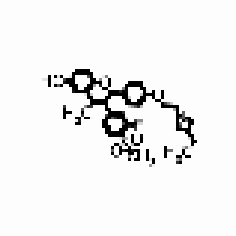 CCC1CN(CCOc2ccc(C3Oc4ccc(O)cc4C(C)=C3c3ccc(S(C)(=O)=O)c(F)c3)cc2)C1